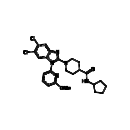 COc1cccc(-n2c(N3CCC(C(=O)NC4CCCC4)CC3)nc3cc(Cl)c(Cl)cc32)n1